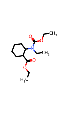 CCOC(=O)C1CCCCC1N(CC)C(=O)OCC